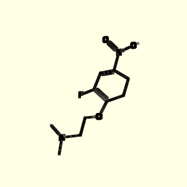 CN(C)CCOC1=C(F)C=C([N+](=O)[O-])CC1